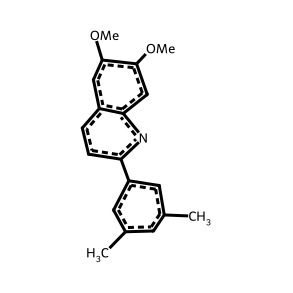 COc1cc2ccc(-c3cc(C)cc(C)c3)nc2cc1OC